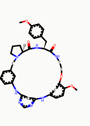 COc1ccc(C[C@@H]2NC(=O)[C@@H]3CCCN3Cc3cccc(c3)Nc3cc(ncn3)Nc3ccc(OC)c(c3)OCCNC2=O)cc1